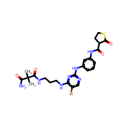 CC(C)(C(N)=O)C(=O)NCCCNc1nc(Nc2cccc(NC(=O)C3CCSC3=O)c2)ncc1Br